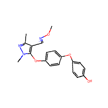 CO/N=C/c1c(C)nn(C)c1Oc1ccc(Oc2ccc(O)cc2)cc1